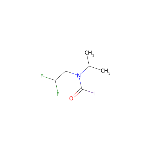 CC(C)N(CC(F)F)C(=O)I